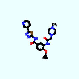 CN1CCN(CC(=O)Nc2cc(C(=O)Nc3nnc(-c4cccnc4)s3)ccc2OC2CC2)CC1